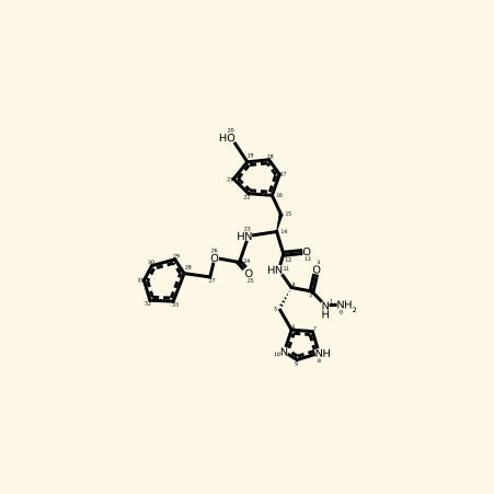 NNC(=O)[C@H](Cc1c[nH]cn1)NC(=O)[C@H](Cc1ccc(O)cc1)NC(=O)OCc1ccccc1